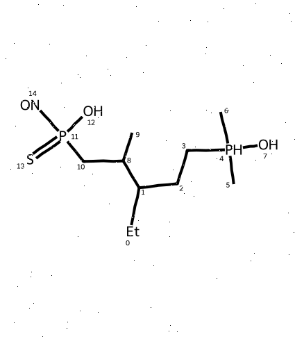 CCC(CC[PH](C)(C)O)C(C)CP(O)(=S)N=O